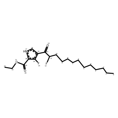 CCCCCCCCCCCC(F)C(=O)c1c[nH]c(C(=O)OCC)c1F